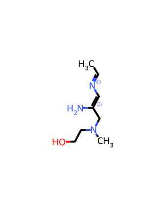 C/C=N/C=C(\N)CN(C)CCO